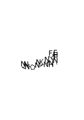 CNc1nc(Nc2cn(C3CCC(n4ccnn4)C3)nc2C)ncc1C(F)(F)F